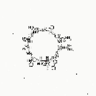 CC(C)C[C@@H]1NC(=O)[C@H](Cc2cnc[nH]2)NC(=O)C2CCCN2C(=O)[C@H](CC(N)=O)NC(=O)[C@H](C)N(C)C(=O)[C@H](Cc2ccccc2)NC(=O)CSC[C@@H](C(=O)NCC(N)=O)NC(=O)[C@H](CCCNC(=N)N)NC(=O)[C@H](C)N(C)C(=O)[C@H](Cc2ccc(-c3ccccc3)cc2)NC(=O)[C@H](Cc2c[nH]c3ccccc23)NC(=O)[C@H](CO)NC(=O)[C@H](Cc2c[nH]c3ccccc23)NC(=O)CNC1=O